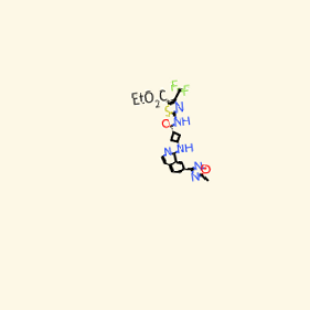 CCOC(=O)c1sc(NC(=O)[C@H]2C[C@@H](Nc3nccc4ccc(-c5noc(C)n5)cc34)C2)nc1C(F)F